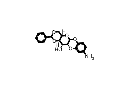 Nc1ccc(O[C@@H]2O[C@@H]3COC(c4ccccc4)O[C@@H]3[C@H](O)[C@H]2O)cc1